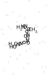 COc1cc(N2CCC3(CCN(C(=O)c4ccc(N5CCN(C(C)CO)CC5)cc4)CC3)C2=O)ccc1/C(C=N)=C/N